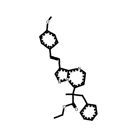 CCOC(=O)C(C)(Cc1ccccc1)c1ccnc2c(C=Cc3ccc(OC)cc3)cnn12